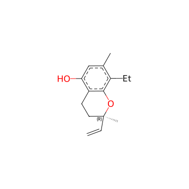 C=C[C@@]1(C)CCc2c(O)cc(C)c(CC)c2O1